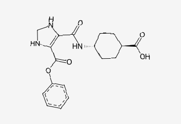 O=C(N[C@H]1CC[C@H](C(=O)O)CC1)C1=C(C(=O)Oc2ccccc2)NCN1